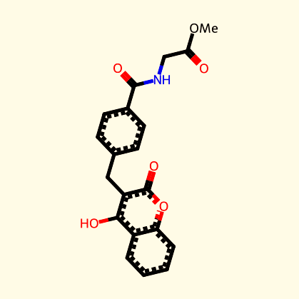 COC(=O)CNC(=O)c1ccc(Cc2c(O)c3ccccc3oc2=O)cc1